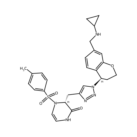 Cc1ccc(S(=O)(=O)N2C=CNC(=O)[C@H]2Cc2cn([C@@H]3CCOc4cc(CNC5CC5)ccc43)nn2)cc1